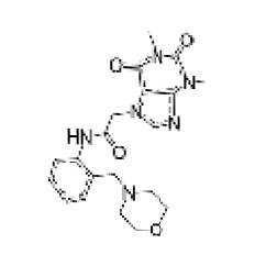 Cn1c(=O)c2c(ncn2CC(=O)Nc2ccccc2CN2CCOCC2)n(C)c1=O